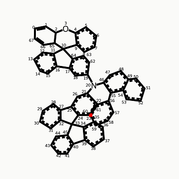 C1=CC2Oc3ccccc3C3(c4ccccc4-c4cc(N(c5ccc6c(c5)-c5ccccc5C65c6ccccc6-c6ccccc65)c5ccc6ccccc6c5-c5ccccc5)ccc43)C2C=C1